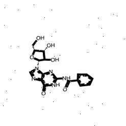 O=C(Nc1nc2c(ncn2[C@@H]2O[C@H](CO)[C@H](O)C2O)c(=O)[nH]1)c1ccccc1